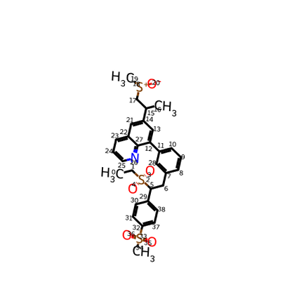 CCS(=O)(=O)C(Cc1cccc(-c2cc(C(C)C[S+](C)[O-])cc3cccnc23)c1)c1ccc(S(C)(=O)=O)cc1